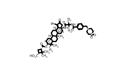 CC(C)C1=C2[C@H]3CC[C@@H]4[C@@]5(C)CC[C@H](OC(=O)[C@H]6C[C@@H](C(=O)O)C6(C)C)C(C)(C)C5CC[C@@]4(C)[C@]3(C)CC[C@@]2(NC(=O)C(C)(C)NC(=O)c2ccc(CN3CCS(=O)(=O)CC3)cc2)CC1=O